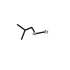 C[CH2][Al][CH2]C(C)C